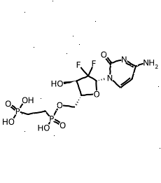 Nc1ccn([C@@H]2O[C@H](COP(=O)(O)CCP(=O)(O)O)[C@@H](O)C2(F)F)c(=O)n1